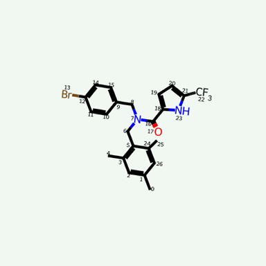 Cc1cc(C)c(CN(Cc2ccc(Br)cc2)C(=O)c2ccc(C(F)(F)F)[nH]2)c(C)c1